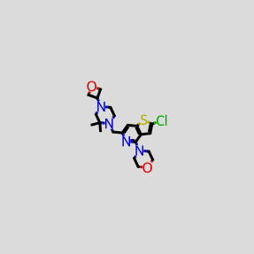 CC1(C)CN(C2COC2)CCN1Cc1cc2sc(Cl)cc2c(N2CCOCC2)n1